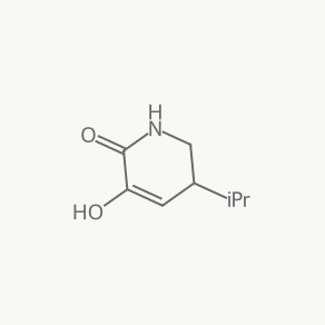 CC(C)C1C=C(O)C(=O)NC1